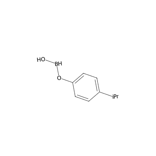 CC(C)c1ccc(OBO)cc1